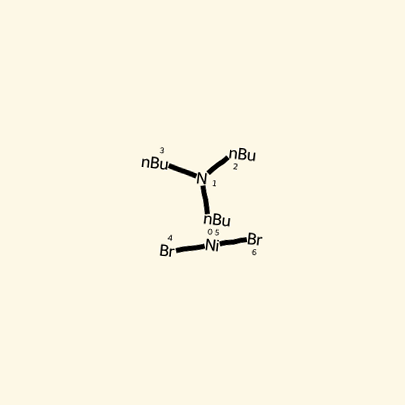 CCCCN(CCCC)CCCC.[Br][Ni][Br]